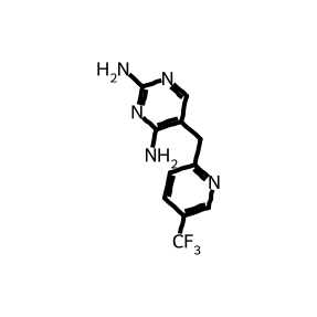 Nc1ncc(Cc2ccc(C(F)(F)F)cn2)c(N)n1